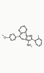 COc1ccc(-c2cn3c(N)c(-c4ccccc4C)nc3c3ccccc23)cc1